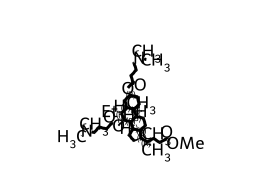 CC[C@H]1[C@H](OC(=O)CCCN(C)C)[C@@H]2[C@H](CC[C@]3(C)[C@@H]([C@H](C)CCC(=O)OC)CC[C@@H]23)[C@@]2(C)CC[C@@H](OC(=O)CCCN(C)C)C[C@@H]12